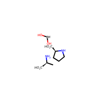 C[C@H](N)C(=O)O.O=C(O)[C@@H]1CCCN1.OBO